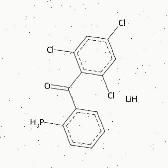 O=C(c1ccccc1P)c1c(Cl)cc(Cl)cc1Cl.[LiH]